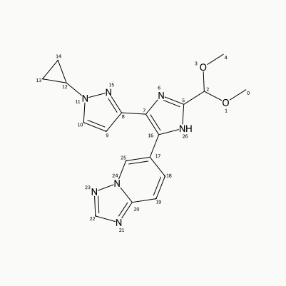 COC(OC)c1nc(-c2ccn(C3CC3)n2)c(-c2ccc3ncnn3c2)[nH]1